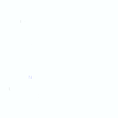 CCC1CSc2c(-c3cccc(C(F)(F)F)c3)c(Cc3cccc4ccccc34)cc(=O)n21